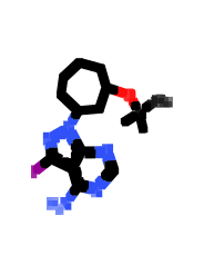 CC(C)(C)[Si](C)(C)OC1CCCCC(n2nc(I)c3c(N)ncnc32)C1